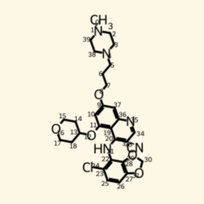 CN1CCN(CCCOc2cc(OC3CCOCC3)c3c(Nc4c(Cl)ccc5c4OCO5)c(C#N)cnc3c2)CC1